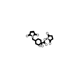 O=C1C=CC(=O)N1CC1CCC(O)(C(=O)ON2C(=O)CCC2=O)CC1